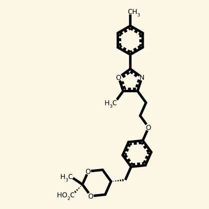 Cc1ccc(-c2nc(CCOc3ccc(C[C@H]4CO[C@@](C)(C(=O)O)OC4)cc3)c(C)o2)cc1